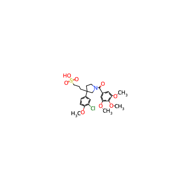 COc1ccc(C2(CCCS(=O)(=O)O)CCN(C(=O)c3cc(OC)c(OC)c(OC)c3)C2)cc1Cl